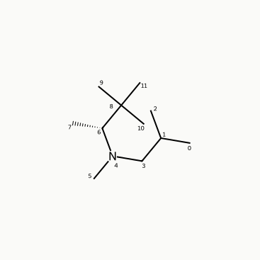 CC(C)CN(C)[C@H](C)C(C)(C)C